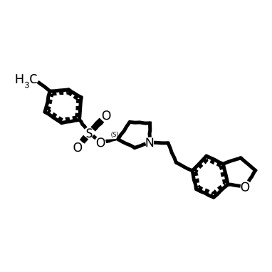 Cc1ccc(S(=O)(=O)O[C@H]2CCN(CCc3ccc4c(c3)CCO4)C2)cc1